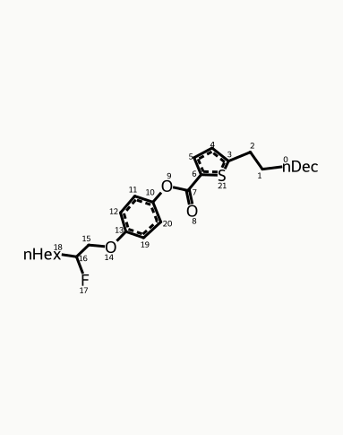 CCCCCCCCCCCCc1ccc(C(=O)Oc2ccc(OCC(F)CCCCCC)cc2)s1